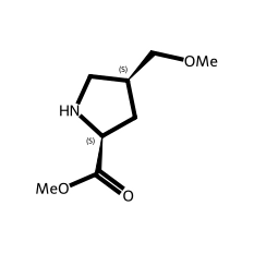 COC[C@@H]1CN[C@H](C(=O)OC)C1